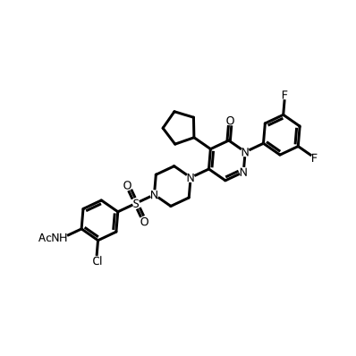 CC(=O)Nc1ccc(S(=O)(=O)N2CCN(c3cnn(-c4cc(F)cc(F)c4)c(=O)c3C3CCCC3)CC2)cc1Cl